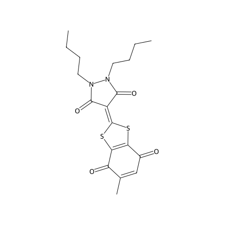 CCCCN1C(=O)C(=C2SC3=C(S2)C(=O)C(C)=CC3=O)C(=O)N1CCCC